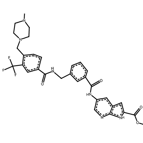 COC(=O)c1cc2cc(NC(=O)c3cccc(CNC(=O)c4ccc(CN5CCN(C)CC5)c(C(F)(F)F)c4)c3)cnc2[nH]1